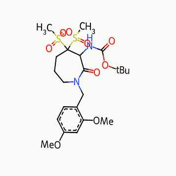 COc1ccc(CN2CCCC(S(C)(=O)=O)(S(C)(=O)=O)C(NC(=O)OC(C)(C)C)C2=O)c(OC)c1